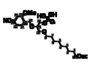 CCCCCCCCCCCCCCCCCCOC[C@H](COP(=O)(O)O)OCc1ccc(C#N)cc1OC